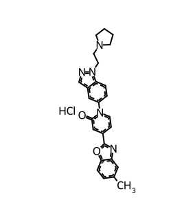 Cc1ccc2oc(-c3ccn(-c4ccc5c(cnn5CCN5CCCC5)c4)c(=O)c3)nc2c1.Cl